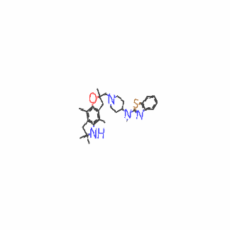 Cc1c2c(c(C)c3c1NC(C)(C)C3)OC(C)(CN1CCC(N(C)c3nc4ccccc4s3)CC1)C2